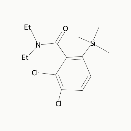 CCN(CC)C(=O)c1c([Si](C)(C)C)ccc(Cl)c1Cl